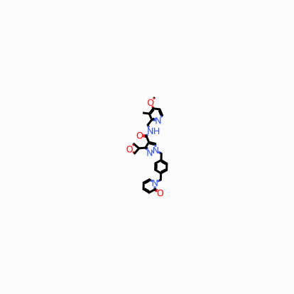 COc1ccnc(CNC(=O)c2cn(Cc3ccc(Cn4ccccc4=O)cc3)nc2C2COC2)c1C